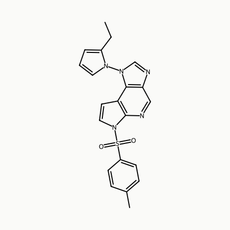 CCc1cccn1-n1cnc2cnc3c(ccn3S(=O)(=O)c3ccc(C)cc3)c21